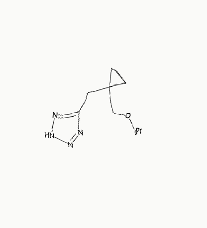 CC(C)OCC1(Cc2nn[nH]n2)CC1